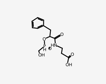 O=C(O)CCNC(=O)C(Cc1ccccc1)O[PH](=O)CO